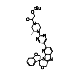 C[C@@H]1CN(C(=O)COC(C)(C)C)CCN1c1ncc(-c2ccc3nc4n(c3n2)C2(COC4)COc3ccccc32)cn1